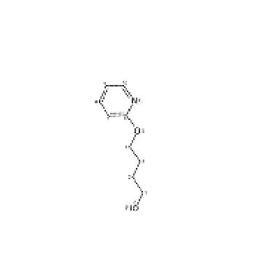 OCCCCOc1ccccn1